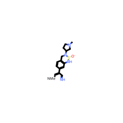 CN/C=C(\C=N)c1ccc2c(c1)N[S+]([O-])N(C1CCN(C)C1)C2